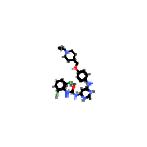 CN1CCC(COc2ccc(Nc3cc(NC(=O)Nc4c(Cl)cccc4Cl)ncn3)cc2)CC1